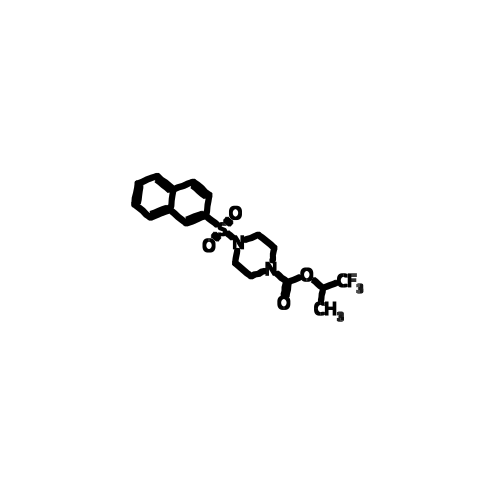 CC(OC(=O)N1CCN(S(=O)(=O)c2ccc3ccccc3c2)CC1)C(F)(F)F